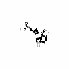 CCN(C)SC[C@H]1C[C@@H](N(C)c2ncnc3[nH]ccc23)C1